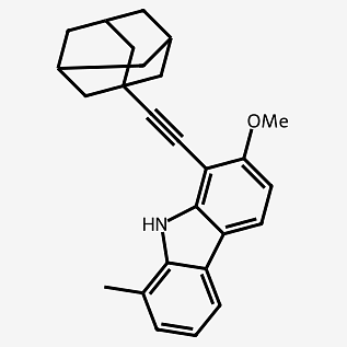 COc1ccc2c([nH]c3c(C)cccc32)c1C#CC12CC3CC(CC(C3)C1)C2